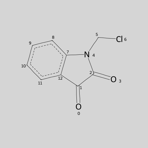 O=C1C(=O)N(CCl)c2ccccc21